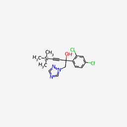 C[Si](C)(C)C#CC(O)(Cn1cncn1)c1ccc(Cl)cc1Cl